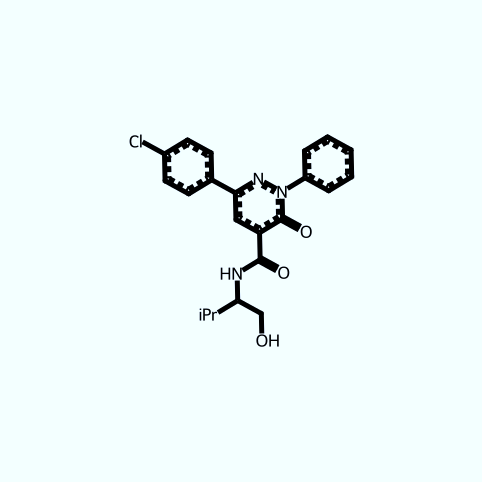 CC(C)C(CO)NC(=O)c1cc(-c2ccc(Cl)cc2)nn(-c2ccccc2)c1=O